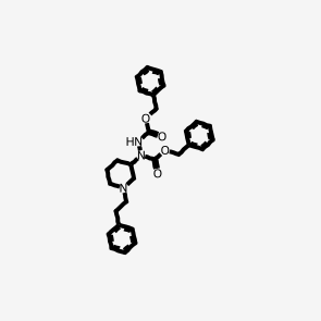 O=C(NN(C(=O)OCc1ccccc1)C1CCCN(CCc2ccccc2)C1)OCc1ccccc1